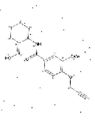 C#CCOc1ccc(C(=O)NC2CCCC/C2=N\O)cc1OC